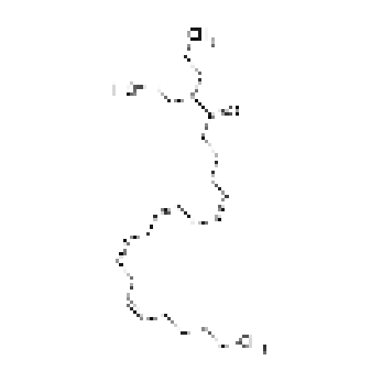 CCCCC/C=C\C/C=C\C/C=C\C/C=C\CCCC(=O)N(CCC)CCO